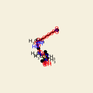 CC(C)C(NC(=O)CCOCCOCCOCCOCCOCCOCCN1C(=O)C=CC1=O)C(=O)NCC(=O)Nc1ccc(COC(=O)N(C)CCN(C)C(=O)Oc2cc3c(c4ccccc24)CCN3C(=O)C2(C)CC(C)(C(=O)N3C[C@@H](CCl)c4c3cc(OP(=O)(O)O)c3ccccc43)C2)cc1